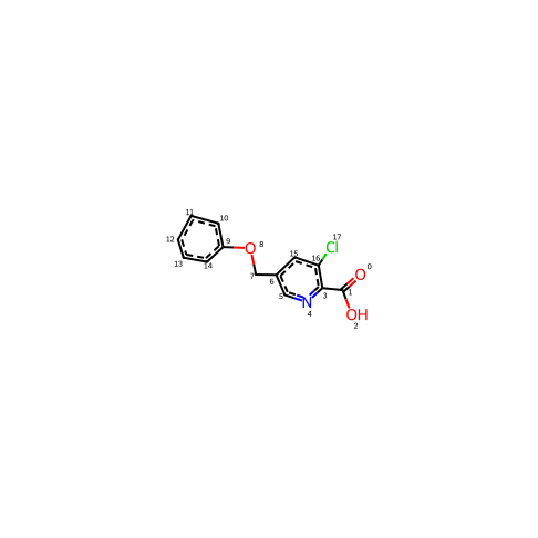 O=C(O)c1ncc(COc2ccccc2)cc1Cl